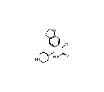 NC(=O)CCl.c1cc2c(cc1CN1CCNCC1)OCO2